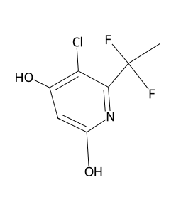 CC(F)(F)c1nc(O)cc(O)c1Cl